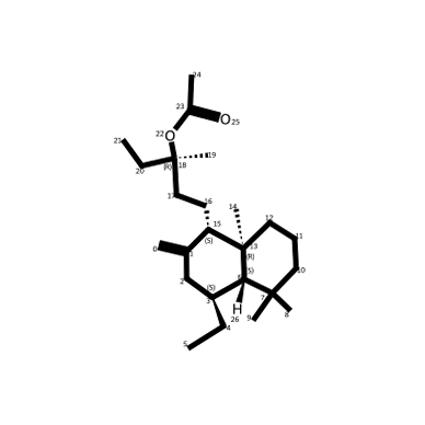 C=C1C[C@H](CC)[C@H]2C(C)(C)CCC[C@]2(C)[C@H]1CC[C@@](C)(CC)OC(C)=O